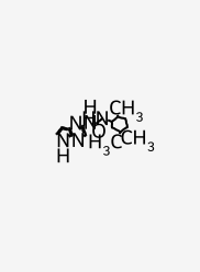 CC1CCC(C)(C)CC1NC(=O)Nc1cnc2[nH]ccc2n1